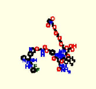 CC(C)[C@H](NC(=O)[C@H](CCC(=O)O)NC(=O)CCOCCOCCOCCOCCN1C(=O)C=CC1=O)C(=O)N[C@@H](CCCNC(N)=O)C(=O)Nc1ccc(COC(=O)NCCOc2cnc3ccc(-c4[nH]c(CNc5cccc(F)c5F)nc4-c4ccccn4)cc3c2)cc1